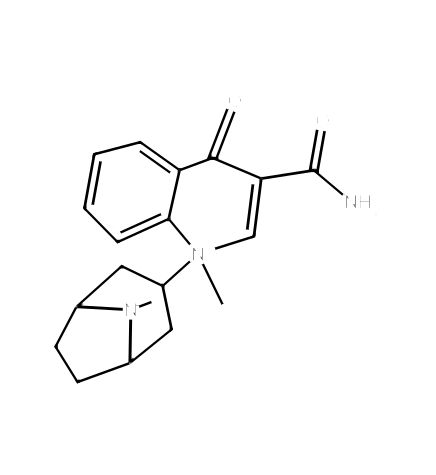 CN1C2CCC1CC([N+]1(C)C=C(C(N)=O)C(=O)c3ccccc31)C2